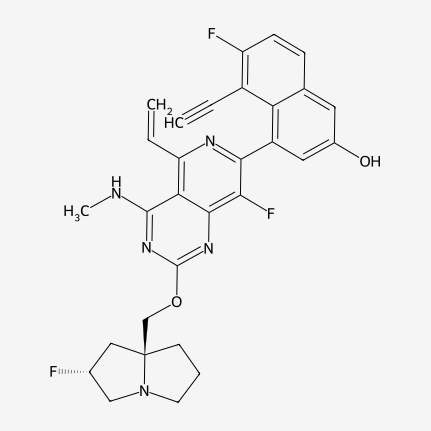 C#Cc1c(F)ccc2cc(O)cc(-c3nc(C=C)c4c(NC)nc(OC[C@@]56CCCN5C[C@H](F)C6)nc4c3F)c12